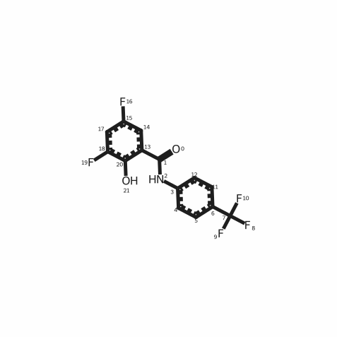 O=C(Nc1ccc(C(F)(F)F)cc1)c1cc(F)cc(F)c1O